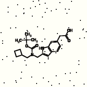 CC(C)(C)OC(=O)N(Cc1cc2ccc(CC(=O)O)cc2[nH]1)CC1CCC1